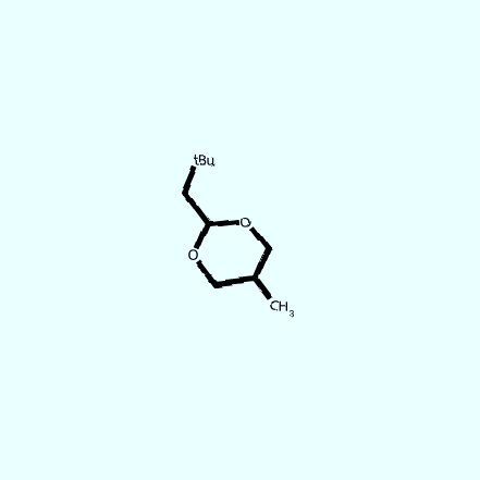 CC1COC(CC(C)(C)C)OC1